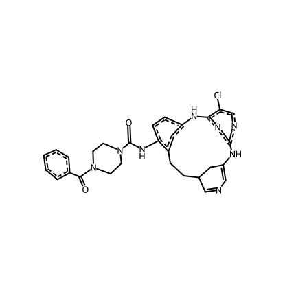 O=C(Nc1ccc2cc1CCC1C=NC=C(C1)Nc1ncc(Cl)c(n1)N2)N1CCN(C(=O)c2ccccc2)CC1